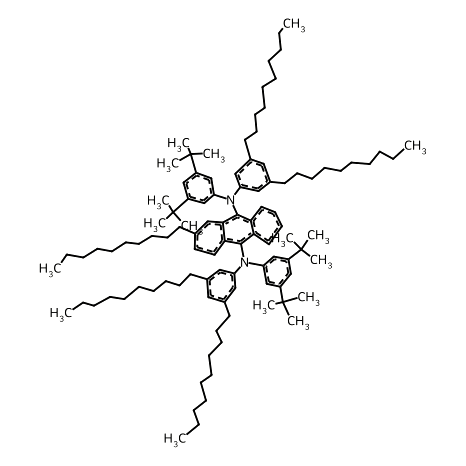 CCCCCCCCCCc1cc(CCCCCCCCCC)cc(N(c2cc(C(C)(C)C)cc(C(C)(C)C)c2)c2c3ccccc3c(N(c3cc(CCCCCCCCCC)cc(CCCCCCCCCC)c3)c3cc(C(C)(C)C)cc(C(C)(C)C)c3)c3cc(CCCCCCCCCC)ccc23)c1